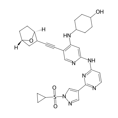 O=S(=O)(C1CC1)n1cc(-c2nccc(Nc3cc(NC4CCC(O)CC4)c(C#CC4C[C@@H]5CC[C@@H]4O5)cn3)n2)cn1